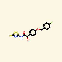 O=C(Nc1nc(=S)ss1)C(O)c1ccc(OCc2ccc(F)cc2)cc1